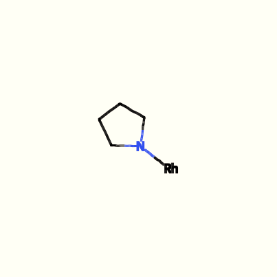 [Rh][N]1CCCC1